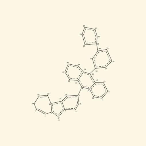 C1=Cc2sc3ccc(-c4c5ccccc5c(-c5cccc(-c6ccccc6)c5)c5ccccc45)cc3c2C=CC1